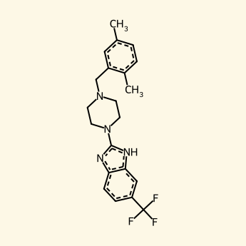 Cc1ccc(C)c(CN2CCN(c3nc4ccc(C(F)(F)F)cc4[nH]3)CC2)c1